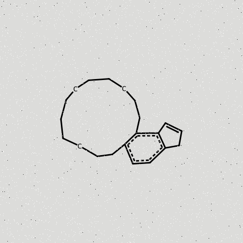 [CH]1C=Cc2c1ccc1c2CCCCCCCCCCCC1